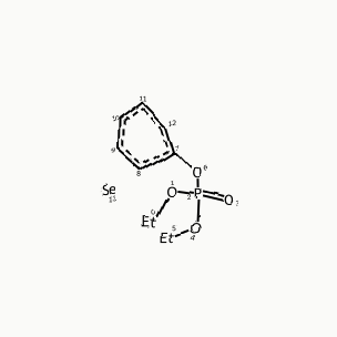 CCOP(=O)(OCC)Oc1ccccc1.[Se]